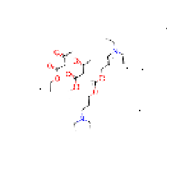 CCN(CC)CCC[O][Ti][O]CCCN(CC)CC.CCOC(=O)CC(C)=O.CCOC(=O)CC(C)=O